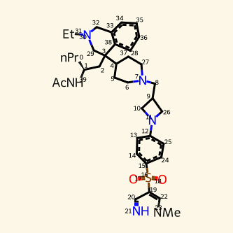 CCC[C@@H](CC1(C2CCN(CC3CN(c4ccc(S(=O)(=O)/C(C=N)=C/NC)cc4)C3)CC2)CN(CC)Cc2ccccc21)NC(C)=O